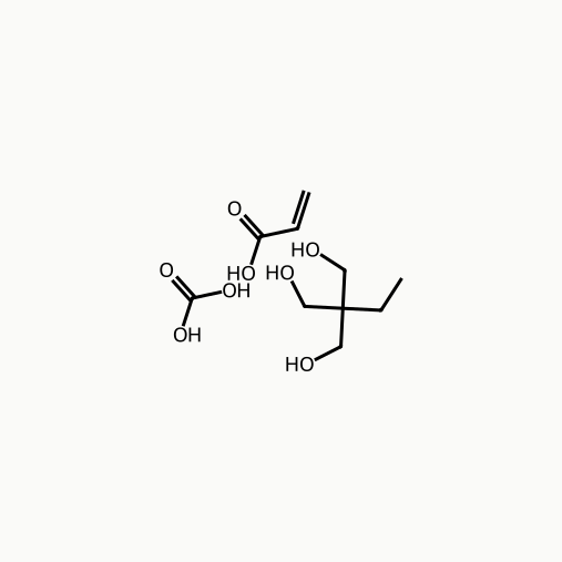 C=CC(=O)O.CCC(CO)(CO)CO.O=C(O)O